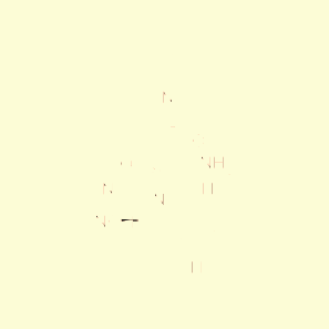 N#C[C@@H]1C[C@@H]2C[C@@H]2N1C(=O)[C@@H](N)C1CC2CCC(C1)N2C(=O)c1ccnc(F)c1